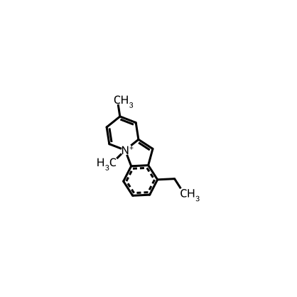 CCc1cccc2c1C=C1C=C(C)C=C[N+]12C